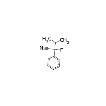 CC(C)C(F)(C#N)c1ccccc1